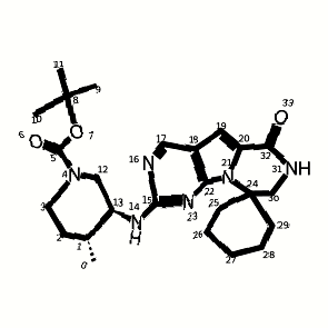 C[C@@H]1CCN(C(=O)OC(C)(C)C)C[C@H]1Nc1ncc2cc3n(c2n1)C1(CCCCC1)CNC3=O